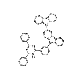 C1=C(c2ccccc2)N=C(c2cccc(-n3c4ccccc4c4cc(-n5c6ccccc6c6ccccc65)ccc43)c2)NC1c1ccccc1